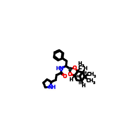 CC1(C)[C@@H]2C[C@H]3OB(C(Cc4ccccc4)NC(=O)CCC4CCCN4)O[C@@]3(C)[C@H]1C2